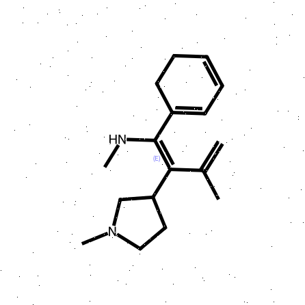 C=C(C)/C(=C(/NC)C1=CC=CCC1)C1CCN(C)C1